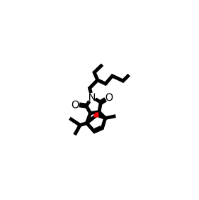 CCCCC(CC)CN1C(=O)C2C(C1=O)C1(C(C)C)C=CC2(C)CC1